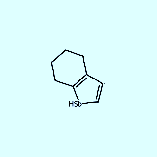 [C]1=[CH][SbH][C]2=C1CCCC2